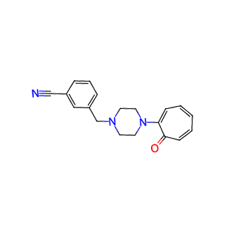 N#Cc1cccc(CN2CCN(c3cccccc3=O)CC2)c1